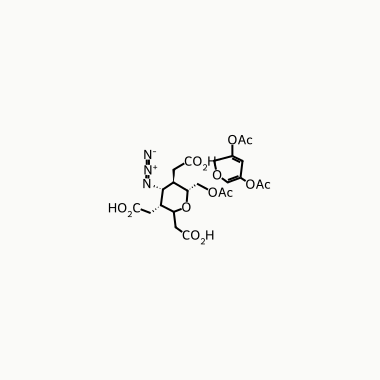 CC(=O)OC1=COCC(OC(C)=O)=C1.CC(=O)OC[C@@H]1OC(CC(=O)O)[C@H](CC(=O)O)[C@H](N=[N+]=[N-])[C@H]1CC(=O)O